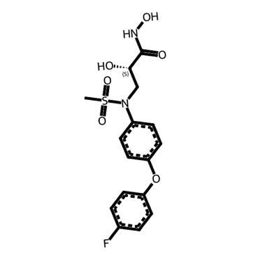 CS(=O)(=O)N(C[C@H](O)C(=O)NO)c1ccc(Oc2ccc(F)cc2)cc1